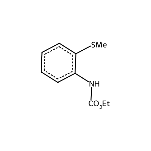 CCOC(=O)Nc1ccccc1SC